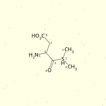 C[SH](C)C(=O)C(N)CC(=O)O